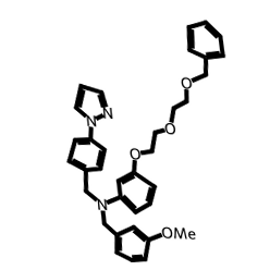 COc1cccc(CN(Cc2ccc(-n3cccn3)cc2)c2cccc(OCCOCCOCc3ccccc3)c2)c1